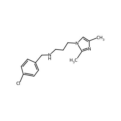 Cc1cn(CCCNCc2ccc(Cl)cc2)c(C)n1